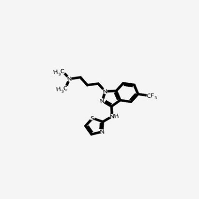 CN(C)CCCn1nc(Nc2nccs2)c2cc(C(F)(F)F)ccc21